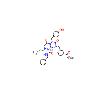 C=CCN1CC(=O)N2[C@@H](Cc3ccc(O)cc3)C(=O)N(Cc3cccc(C(=O)NC)c3)C[C@@H]2N1C(=O)NCc1ccccc1